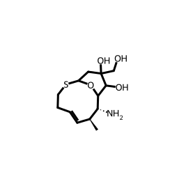 C[C@H]1/C=C/CCSC2CC(O)(CO)C(O)C(O2)[C@@H]1N